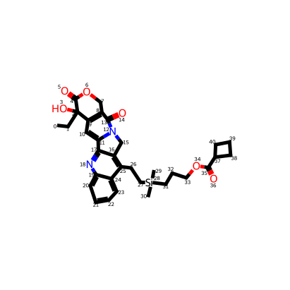 CCC1(O)C(=O)OCc2c1cc1n(c2=O)Cc2c-1nc1ccccc1c2CC[Si](C)(C)CCCOC(=O)C1CCC1